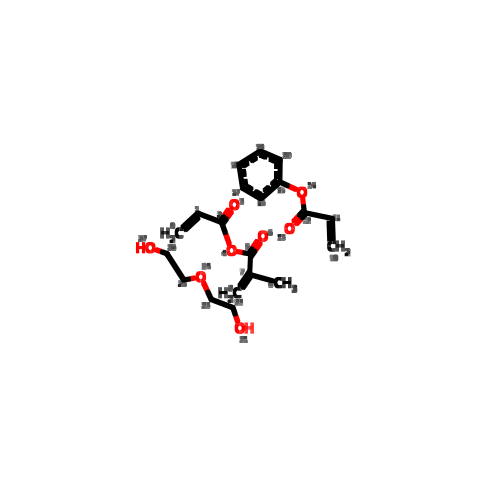 C=CC(=O)OC(=O)C(=C)C.C=CC(=O)Oc1ccccc1.OCCOCCO